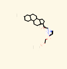 COCCOc1ccn(CC(=O)C2CCC3C4CCC5CC(C)CCC5C4CCC23C)n1